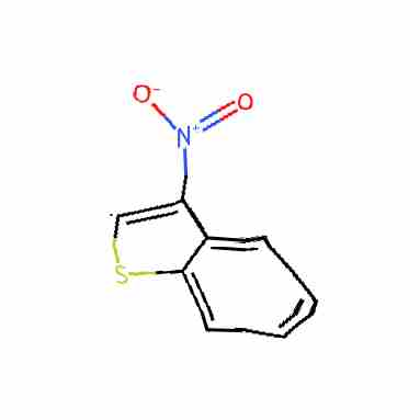 O=[N+]([O-])c1[c]sc2ccccc12